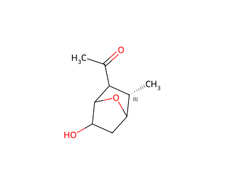 CC(=O)C1C2OC(CC2O)[C@H]1C